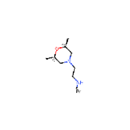 CC(C)NCCN1C[C@@H](C)O[C@@H](C)C1